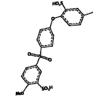 COc1ccc(S(=O)(=O)c2ccc(Oc3ccc(C)cc3S(=O)(=O)O)cc2)cc1S(=O)(=O)O